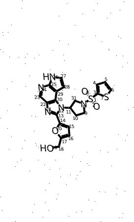 O=S(=O)(c1cccs1)N1CCC(n2c(-c3ccc(CO)o3)nc3cnc4[nH]ccc4c32)C1